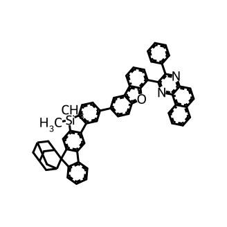 C[Si]1(C)c2ccc(-c3ccc4oc5c(-c6nc7c(ccc8ccccc87)nc6-c6ccccc6)cccc5c4c3)cc2-c2cc3c(cc21)C1(c2ccccc2-3)C2CC3CC(C2)CC1C3